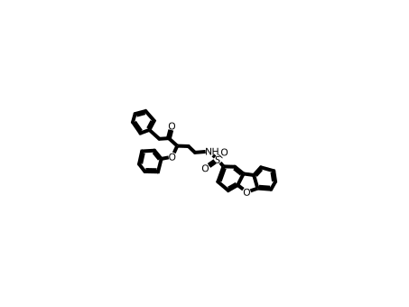 O=C(Cc1ccccc1)C(CCNS(=O)(=O)c1ccc2oc3ccccc3c2c1)Oc1ccccc1